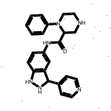 O=C(Nc1ccc2c(c1)C(c1ccncc1)NN2)C1CNCCN1c1ccccc1